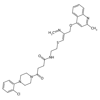 C=N/C(=C\SCCNC(=O)CCC(=O)N1CCN(c2ccccc2Cl)CC1)COc1cc(C)nc2ccccc12